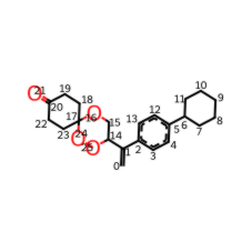 C=C(c1ccc(C2CCCCC2)cc1)C1COC2(CCC(=O)CC2)OO1